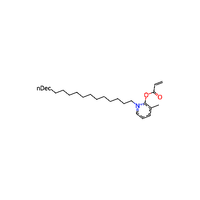 C=CC(=O)Oc1c(C)ccc[n+]1CCCCCCCCCCCCCCCCCCCCCC